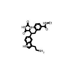 CCNC(=O)c1cccc(CC(c2ccc3[nH]cc(CCN)c3c2)C2NC(=O)NC2=O)c1